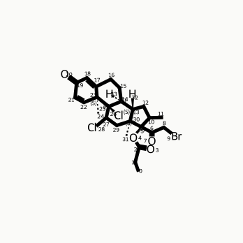 CCC(=O)O[C@]1(C(=O)CBr)C(C)C[C@H]2[C@@H]3CCC4=CC(=O)C=C[C@]4(C)[C@@]3(Cl)C(Cl)C[C@@]21C